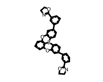 c1cc(C2=NCCO2)cc(-c2ccc3c(c2)Oc2cccc4c2B3c2ccc(-c3cccc(C5=NCCO5)c3)cc2O4)c1